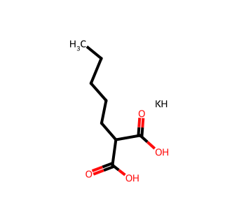 CCCCCC(C(=O)O)C(=O)O.[KH]